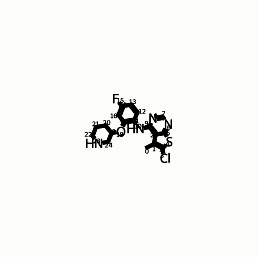 Cc1c(Cl)sc2ncnc(Nc3ccc(F)cc3OC3CCCNC3)c12